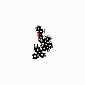 C=Cc1c(/C=C\C)c(-c2ccc3oc4c5ccccc5ccc4c3c2)c2ccccc2c1-c1cccc2sc3cc(-c4c5ccccc5c(-c5ccccc5)c5ccccc45)ccc3c12